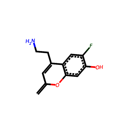 C=C1C=C(CCN)c2cc(F)c(O)cc2O1